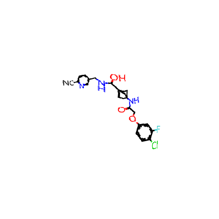 N#Cc1ccc(CNC(O)C23CC(NC(=O)COc4ccc(Cl)c(F)c4)(C2)C3)cn1